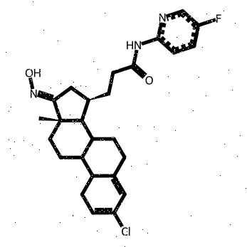 C[C@]12CCC3C4CC=C(Cl)C=C4CCC3C1[C@H](CCC(=O)Nc1ccc(F)cn1)C/C2=N\O